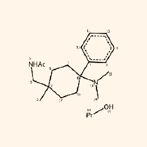 CC(=O)NCC1(C)CCC(c2ccccc2)(N(C)C)CC1.CC(C)O